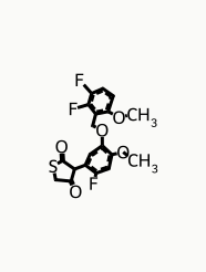 COc1cc(F)c(C2C(=O)CSC2=O)cc1OCc1c(OC)ccc(F)c1F